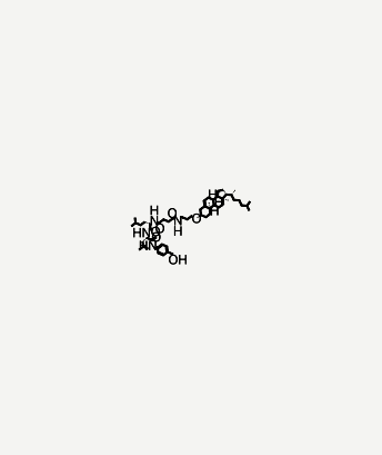 CC(C)CCC[C@@H](C)[C@H]1CC[C@H]2[C@@H]3CC=C4C[C@@H](OCCCNC(=O)CCC(=O)N[C@@H](CCC(C)C)C(=O)N[C@@H](CC(C)C)C(=O)Nc5ccc(CO)cc5)CC[C@]4(C)[C@H]3CC[C@]12C